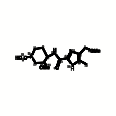 COCc1nc(C(=O)NC2CCN(C(=O)O)CC2OC)[nH]c1C